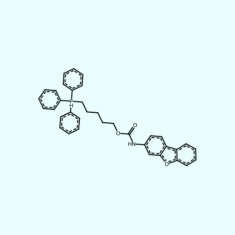 O=C(Nc1ccc2c(c1)oc1ccccc12)OCCCCC[PH](c1ccccc1)(c1ccccc1)c1ccccc1